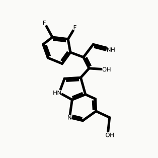 N=C/C(=C(\O)c1c[nH]c2ncc(CO)cc12)c1cccc(F)c1F